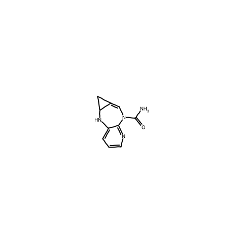 NC(=O)N1C=C2CC2Nc2cccnc21